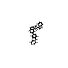 O=S(=O)(c1cnc2ccccn12)n1ncc2ncc(-c3ccc(CN4CCOCC4)cc3)cc21